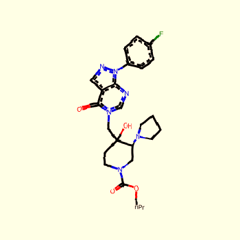 CCCOC(=O)N1CCC(O)(Cn2cnc3c(cnn3-c3ccc(F)cc3)c2=O)C(N2CCCC2)C1